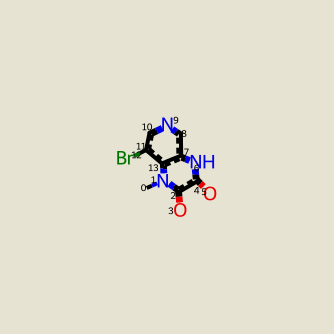 Cn1c(=O)c(=O)[nH]c2cncc(Br)c21